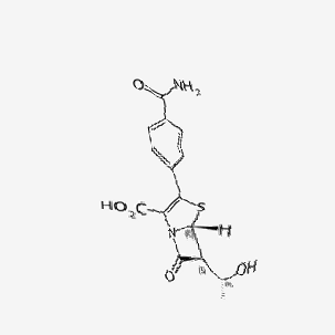 C[C@@H](O)[C@H]1C(=O)N2C(C(=O)O)=C(c3ccc(C(N)=O)cc3)S[C@H]12